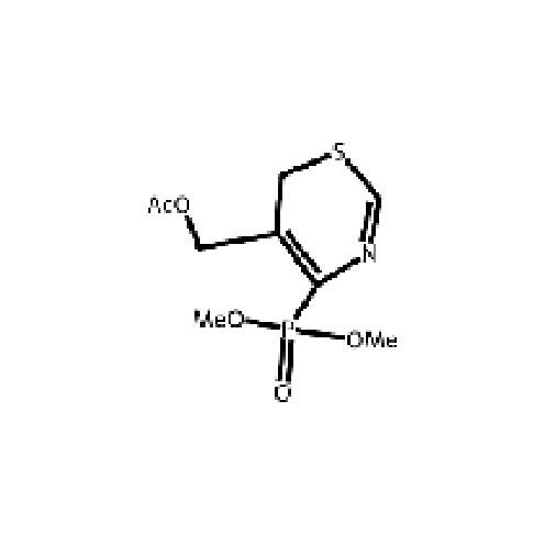 COP(=O)(OC)C1=C(COC(C)=O)CSC=N1